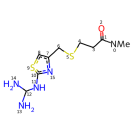 CNC(=O)CCSCc1csc(NC(N)N)n1